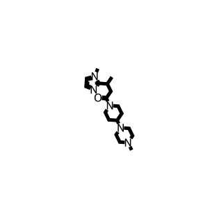 CC(CC(=O)N1CCC(N2CCN(C)CC2)CC1)c1nccn1C